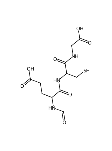 O=CNC(CCC(=O)O)C(=O)NC(CS)C(=O)NCC(=O)O